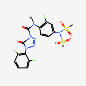 CCN(C(=O)n1nnn(-c2c(F)cccc2F)c1=O)c1ccc(N(S(C)(=O)=O)S(C)(=O)=O)cc1F